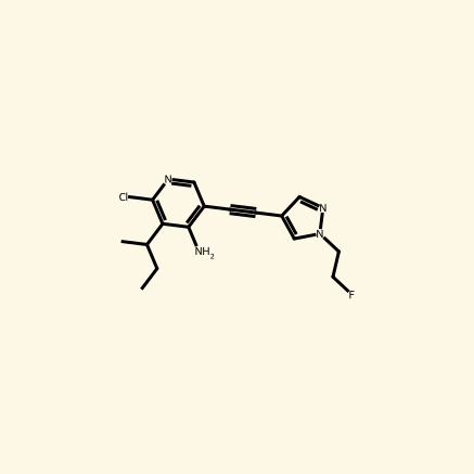 CCC(C)c1c(Cl)ncc(C#Cc2cnn(CCF)c2)c1N